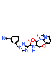 CN1C(=O)C(NC(=O)c2ncn(Cc3cccc(C#N)c3)n2)COc2cccnc21